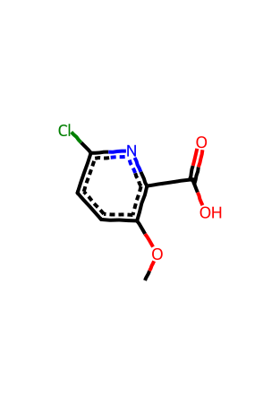 COc1ccc(Cl)nc1C(=O)O